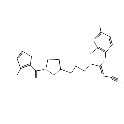 CC1=C(C(=O)N2CCC(CCCN/C(=N/C#N)Nc3ccc(C)nc3C)C2)CC=C1